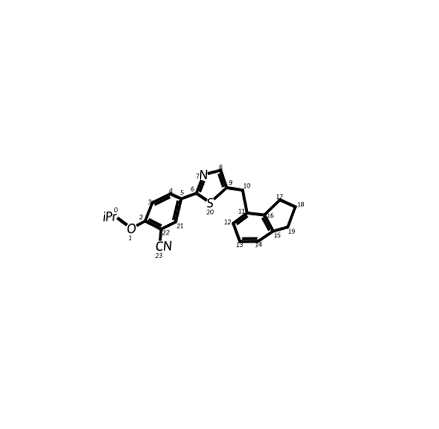 CC(C)Oc1ccc(-c2ncc(Cc3cccc4c3CCC4)s2)cc1C#N